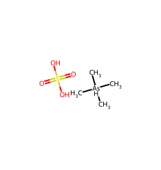 C[AsH](C)(C)C.O=S(=O)(O)O